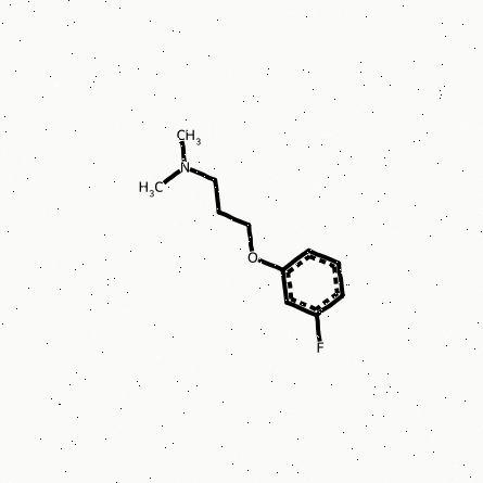 CN(C)CCCOc1cccc(F)c1